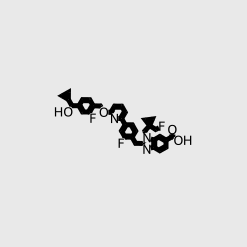 O=C(O)c1ccc2nc(Cc3ccc(-c4cccc(OCc5ccc(C(O)C6CC6)cc5F)n4)cc3F)n(CC3(CF)CC3)c2c1